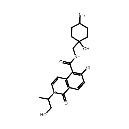 CC(CO)n1ccc2c(C(=O)NCC3(O)CCC(C(F)(F)F)CC3)c(Cl)ccc2c1=O